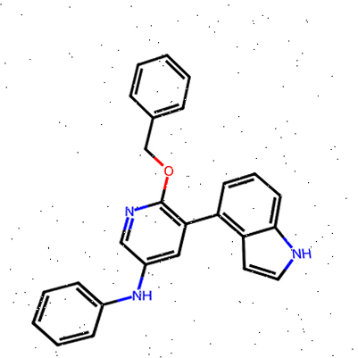 c1ccc(COc2ncc(Nc3ccccc3)cc2-c2cccc3[nH]ccc23)cc1